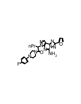 CCCC(C(=O)N1CCN(c2ccc(F)cc2)CC1)n1ncc2c1nc(N)n1nc(-c3ccco3)nc21